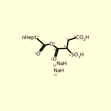 CCCCCCCC(=O)OC(=O)C(CC(=O)O)S(=O)(=O)O.[NaH].[NaH]